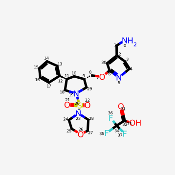 NCc1ccnc(OC[C@H]2C[C@H](c3ccccc3)CN(S(=O)(=O)N3CCOCC3)C2)c1.O=C(O)C(F)(F)F